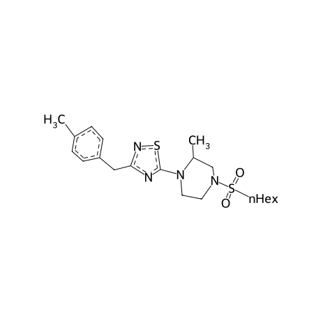 CCCCCCS(=O)(=O)N1CCN(c2nc(Cc3ccc(C)cc3)ns2)C(C)C1